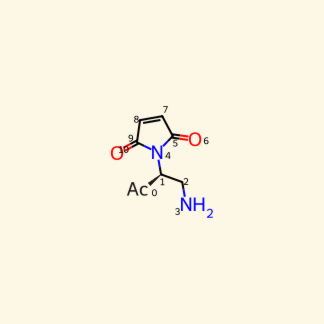 CC(=O)[C@H](CN)N1C(=O)C=CC1=O